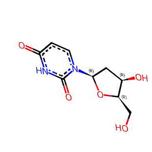 O=c1ccn([C@H]2C[C@@H](O)[C@@H](CO)O2)c(=O)[nH]1